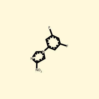 O=[N+]([O-])c1cn(-c2cc(F)cc(F)c2)cn1